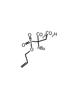 C=CCOS(=O)(=O)C(CCCC)(CC(=O)O)C(=O)O